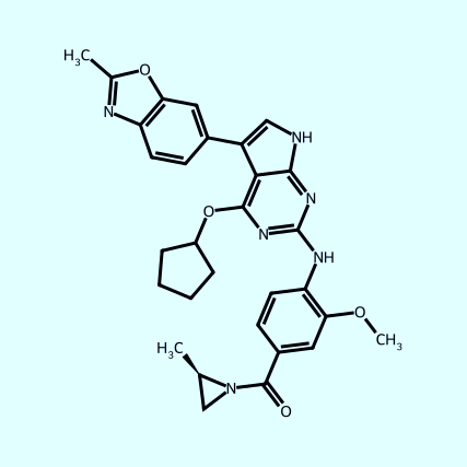 COc1cc(C(=O)N2C[C@H]2C)ccc1Nc1nc(OC2CCCC2)c2c(-c3ccc4nc(C)oc4c3)c[nH]c2n1